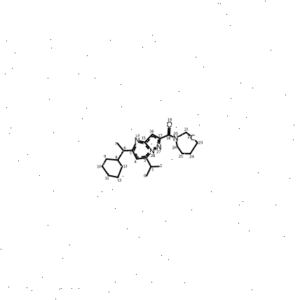 CC(C)c1cc(C(C)C2CCCCC2)nc2cc(C(=O)N3CCCCCC3)nn12